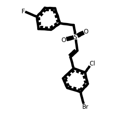 O=S(=O)(C=Cc1ccc(Br)cc1Cl)Cc1ccc(F)cc1